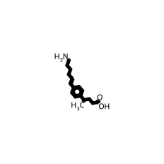 CC(CCC(=O)O)c1ccc(C=CCCCCN)cc1